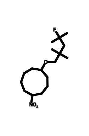 CC(C)(F)CC(C)(C)COC1CCCCC([N+](=O)[O-])CCC1